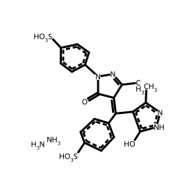 CC1=NN(c2ccc(S(=O)(=O)O)cc2)C(=O)C1=C(c1ccc(S(=O)(=O)O)cc1)c1c(C)n[nH]c1O.N.N